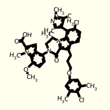 COc1ccc(N2C[C@@H](C)n3c(c(CCCOc4cc(C)c(Cl)c(C)c4)c4ccc(Cl)c(-c5c(C)nn(C)c5C)c43)C2=O)c2cc(C(=O)O)n(C)c12